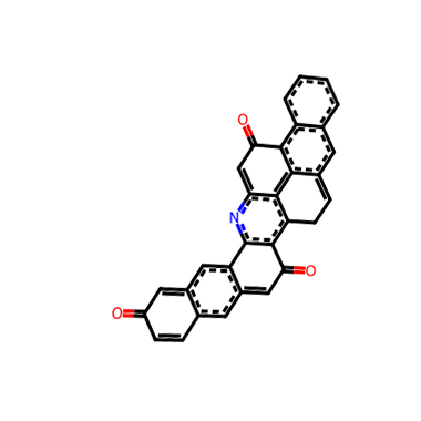 O=C1C=Cc2cc3c(cc2=C1)-c1nc2c4c(c1C(=O)C=3)CC=c1cc3ccccc3c(c1=4)C(=O)C=2